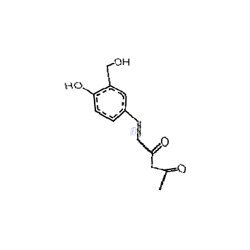 CC(=O)CC(=O)/C=C/c1ccc(O)c(CO)c1